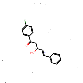 O=C(C[C@H](O)/C=C/c1ccccc1)c1ccc(Cl)cc1